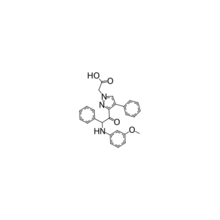 COc1cccc(NC(C(=O)c2nn(CC(=O)O)cc2-c2ccccc2)c2ccccc2)c1